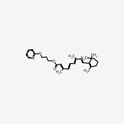 CC(C=CC1=C(C)CCCC1(C)C)=CC=CC(C)=CC(=O)OCCCOc1ccccn1